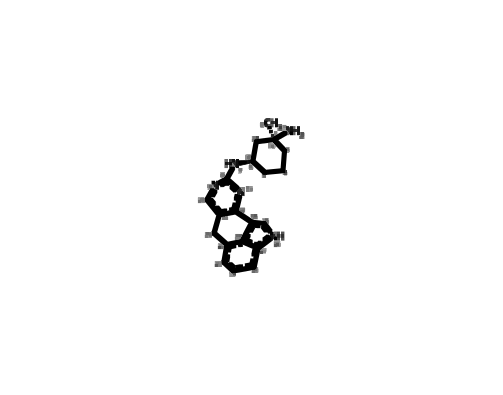 C[C@]1(N)CCC[C@@H](Nc2ncc3c(n2)-c2c[nH]c4cccc(c24)C3)C1